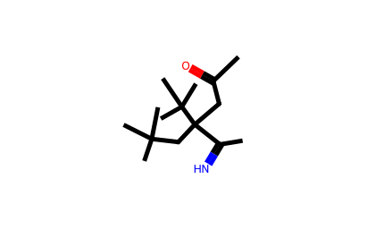 CC(=N)C(CC(C)=O)(CC(C)(C)C)C(C)(C)C